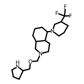 FC(F)(F)C1CCCN(C2CCCC3CN(COCC4CCCN4)CCC32)C1